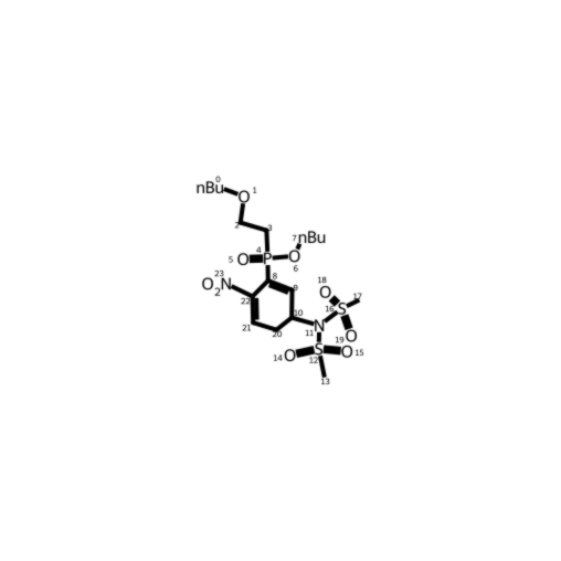 CCCCOCCP(=O)(OCCCC)C1=CC(N(S(C)(=O)=O)S(C)(=O)=O)CC=C1[N+](=O)[O-]